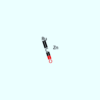 O=[C]=[Ru].[Zn]